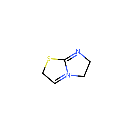 C1=[N+]2CCN=C2SC1